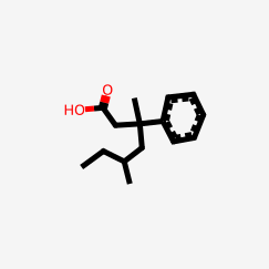 CCC(C)CC(C)(CC(=O)O)c1ccccc1